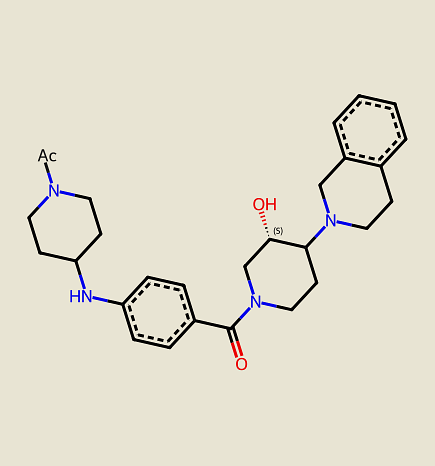 CC(=O)N1CCC(Nc2ccc(C(=O)N3CCC(N4CCc5ccccc5C4)[C@@H](O)C3)cc2)CC1